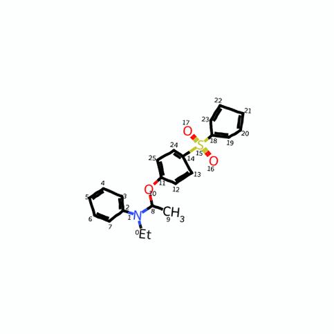 CCN(c1ccccc1)C(C)Oc1ccc(S(=O)(=O)c2ccccc2)cc1